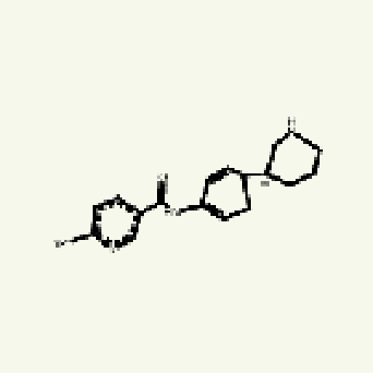 CCCc1ccc(C(=O)NC2=CCC([C@@H]3CCCNC3)C=C2)cn1